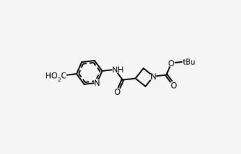 CC(C)(C)OC(=O)N1CC(C(=O)Nc2ccc(C(=O)O)cn2)C1